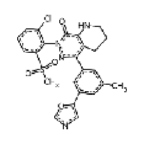 Cc1cc(-c2cnco2)cc(-c2nn(-c3c(Cl)cccc3S(C)(=O)=O)c(=O)c3c2CCCN3)c1